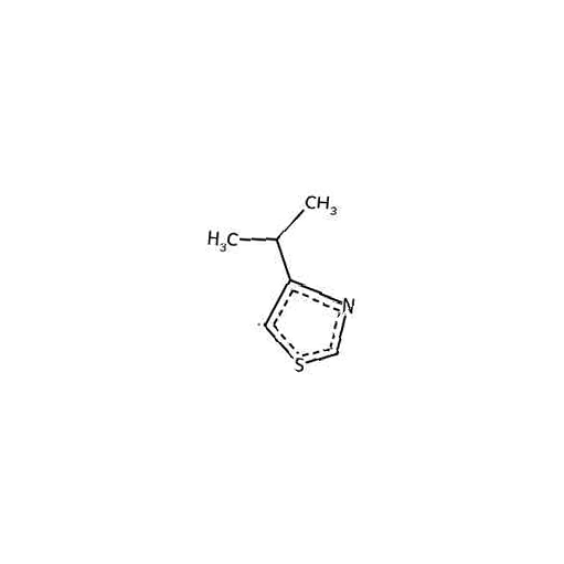 CC(C)c1[c]scn1